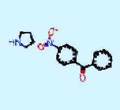 C1CCNC1.O=C(c1ccccc1)c1ccc([N+](=O)[O-])cc1